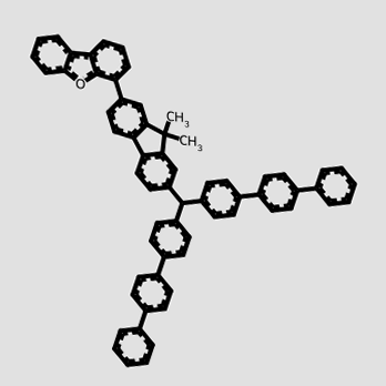 CC1(C)c2cc(-c3cccc4c3oc3ccccc34)ccc2-c2ccc(C(c3ccc(-c4ccc(-c5ccccc5)cc4)cc3)c3ccc(-c4ccc(-c5ccccc5)cc4)cc3)cc21